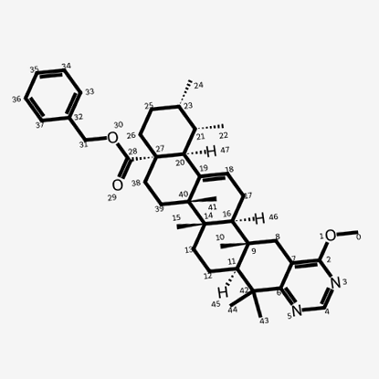 COc1ncnc2c1C[C@]1(C)[C@H](CC[C@@]3(C)[C@H]1CC=C1[C@@H]4[C@@H](C)[C@@H](C)CC[C@]4(C(=O)OCc4ccccc4)CC[C@]13C)C2(C)C